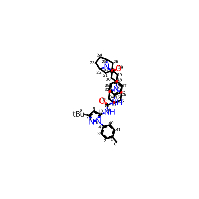 Cc1ccc(-n2nc(C(C)(C)C)cc2NC(=O)Nc2ccc(CC3CC4CCC(C3)N4C(=O)CCN3CCCCC3)cc2)cc1